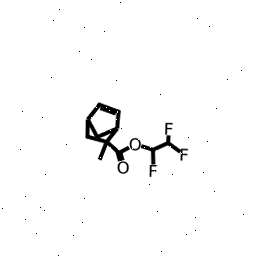 CC1(C(=O)OC(F)C(F)F)CC2C=CC1C2